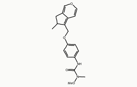 CON(C)C(=O)Nc1ccc(OCC2=C3C=COC=C3CC2C)cc1